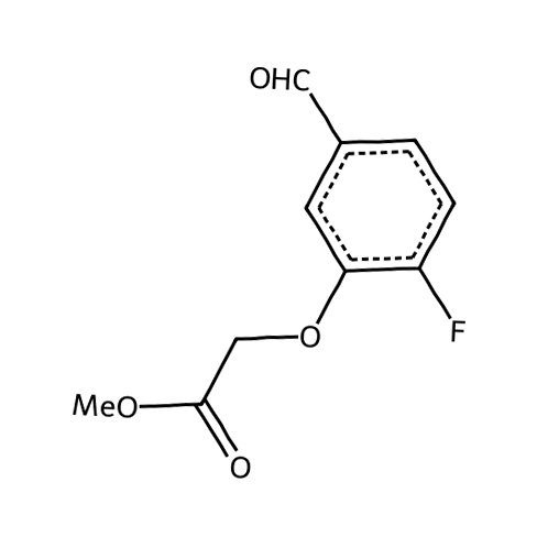 COC(=O)COc1cc(C=O)ccc1F